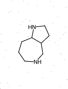 C1CNCC2CCNC2C1